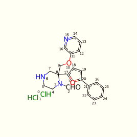 Cl.Cl.O=CN1CCNCC1(COc1cccnc1)c1ccc(-c2ccccc2)o1